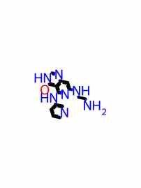 NCCNc1cc2nc[nH]c(=O)c2c(Nc2cccnc2)n1